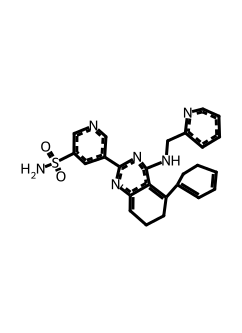 NS(=O)(=O)c1cncc(-c2nc(NCc3ccccn3)c3c(n2)=CCCC=3C2=CC=CCC2)c1